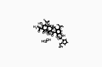 CC(C)CN1CCC[C@H]1C(=O)Nc1cc(N(C)C)c2c(c1O)C(=O)C1=C(O)[C@]3(O)C(=O)C(C(N)=O)=C(O)[C@@H](N(C)C)[C@@H]3C[C@@H]1C2.Cl.Cl